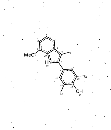 COc1cccc2c(C)c(-c3cc(C)c(O)c(C)c3)[nH]c12